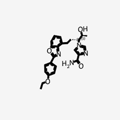 CCOc1ccc(-c2nc3c(CC[C@H]([C@H](C)O)n4cnc(C(N)=O)c4)cccc3o2)cc1